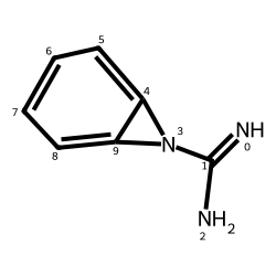 N=C(N)N1c2ccccc21